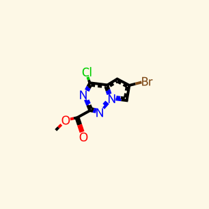 COC(=O)c1nc(Cl)c2cc(Br)cn2n1